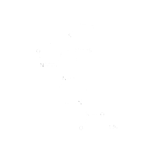 CC(C)(C)OC(=O)N1CCN(c2nocc2C2(C)SCCCS2)CC1